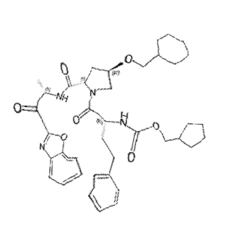 C[C@H](NC(=O)[C@@H]1C[C@@H](OCC2CCCCC2)CN1C(=O)[C@@H](CCc1ccccc1)NC(=O)OCC1CCCC1)C(=O)c1nc2ccccc2o1